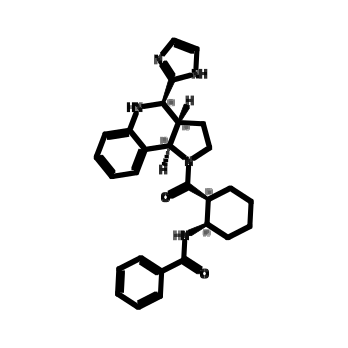 O=C(N[C@@H]1CCCC[C@@H]1C(=O)N1CC[C@H]2[C@H](c3ncc[nH]3)Nc3ccccc3[C@@H]21)c1ccccc1